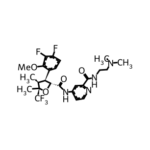 COc1c([C@H]2[C@H](C(=O)Nc3ccnc(C(=O)NCCN(C)C)c3)O[C@@](C)(C(F)(F)F)[C@H]2C)ccc(F)c1F